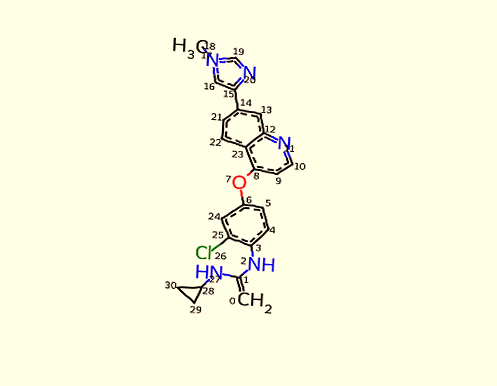 C=C(Nc1ccc(Oc2ccnc3cc(-c4cn(C)cn4)ccc23)cc1Cl)NC1CC1